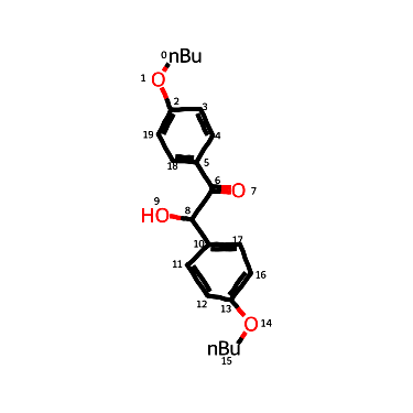 CCCCOc1ccc(C(=O)C(O)c2ccc(OCCCC)cc2)cc1